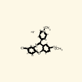 COc1ccc2c(c1)C(c1cc[n+](C)cc1)=Nc1cc(Cl)ccc1O2.[I-]